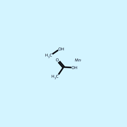 CC(=O)O.CO.[Mn]